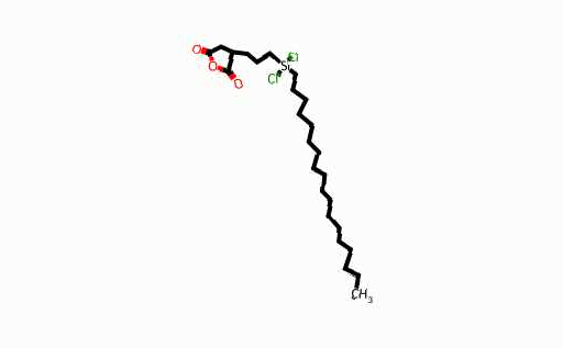 CCCCCCCCCCCCCCCCCC[Si](Cl)(Cl)CCCC1CC(=O)OC1=O